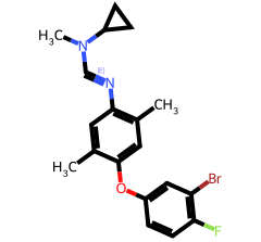 Cc1cc(Oc2ccc(F)c(Br)c2)c(C)cc1/N=C/N(C)C1CC1